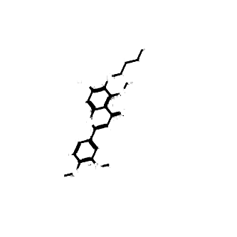 CCCCOc1c(O)cc2oc(-c3ccc(OC)c(OC)c3)cc(=O)c2c1OC